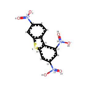 O=[N+]([O-])c1ccc2c(c1)sc1cc([N+](=O)[O-])cc([N+](=O)[O-])c12